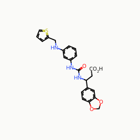 O=C(O)CC(NC(=O)Nc1cccc(NCc2cccs2)c1)c1ccc2c(c1)OCO2